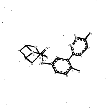 Cc1ccc(-c2cc(NC(=O)N3C4CC(C)CC3C4)ccc2C)nn1